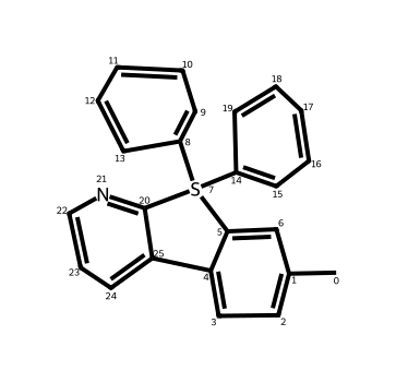 Cc1ccc2c(c1)S(c1ccccc1)(c1ccccc1)c1ncccc1-2